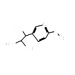 CSc1ccc(C(C)C(C)C)cn1